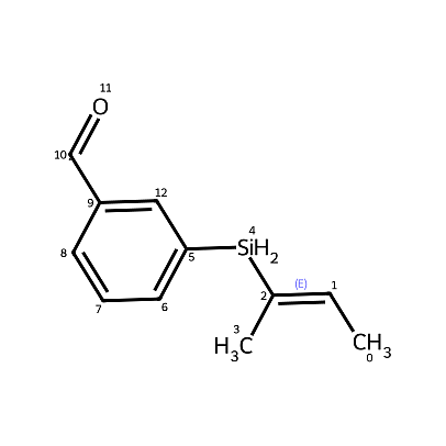 C/C=C(\C)[SiH2]c1cccc([C]=O)c1